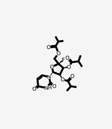 CC(C)C(=O)OC[C@@]1(F)O[C@@H](n2ccc(=O)[nH]c2=O)[C@H](OC(=O)C(C)C)[C@@H]1OC(=O)C(C)C